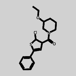 CCOC1CCCN(C(=O)C2C=C(c3ccccc3)SC2Cl)C1